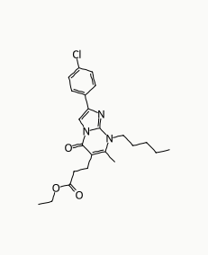 CCCCCn1c(C)c(CCC(=O)OCC)c(=O)n2cc(-c3ccc(Cl)cc3)nc12